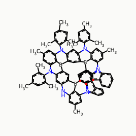 Cc1cc(C)c(N2c3cc4c(cc3B3c5cc6c(cc5N(c5c(C)cc(C)cc5C)c5cc(C)cc2c53)N(c2c(C)cc(C)cc2C)c2cc(C)cc3c2B6c2cccc5c6ccccc6n-3c25)B2c3c(cc(C)cc3-n3c5ccccc5c5cccc2c53)N4)c(C)c1